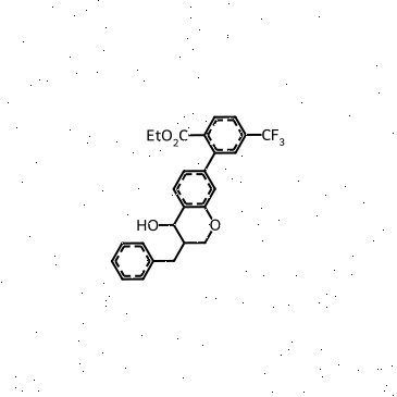 CCOC(=O)c1ccc(C(F)(F)F)cc1-c1ccc2c(c1)OCC(Cc1ccccc1)C2O